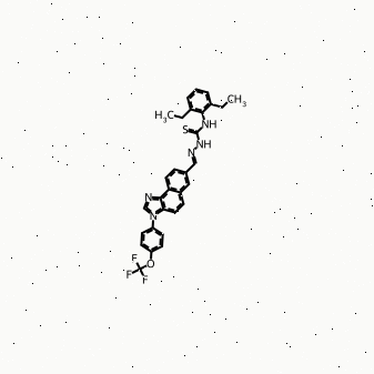 CCc1cccc(CC)c1NC(=S)N/N=C/c1ccc2c(ccc3c2ncn3-c2ccc(OC(F)(F)F)cc2)c1